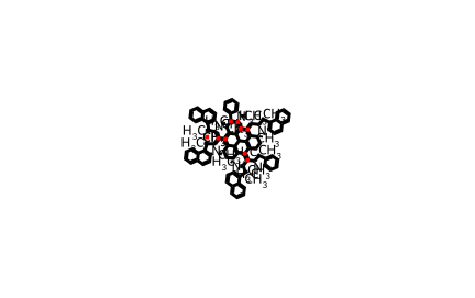 CN1C(=CC=C2CCCC(C=CC3=[N+](C)c4ccc5ccccc5c4C3(C)C)=C2C(C2=C(C=CC3=[N+](C)c4ccccc4C3(C)C)CCCC2=CC=C2N(C)c3ccc4ccccc4c3C2(C)C)C2=C(C=CC3=[N+](C)c4ccc5ccccc5c4C3(C)C)CCCC2=CC=C2N(C)c3ccc4ccccc4c3C2(C)C)C(C)(C)c2ccccc21